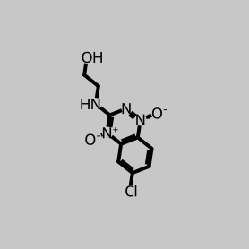 [O-][n+]1nc(NCCO)[n+]([O-])c2cc(Cl)ccc21